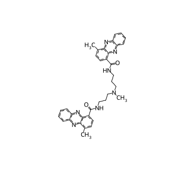 Cc1ccc(C(=O)NCCCN(C)CCCNC(=O)c2ccc(C)c3nc4ccccc4nc23)c2nc3ccccc3nc12